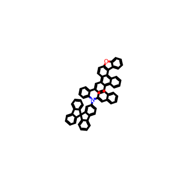 c1ccc(N(c2ccc3c(c2)C2(c4ccccc4-c4ccccc42)c2ccccc2-3)c2ccc3ccccc3c2)c(-c2ccc3c4ccccc4c4c(ccc5oc6ccccc6c54)c3c2)c1